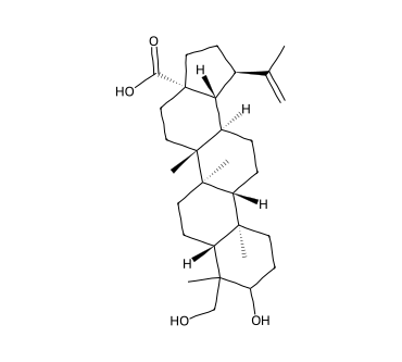 C=C(C)[C@@H]1CC[C@]2(C(=O)O)CC[C@]3(C)[C@H](CC[C@@H]4[C@@]5(C)CCC(O)C(C)(CO)[C@@H]5CC[C@]43C)[C@@H]12